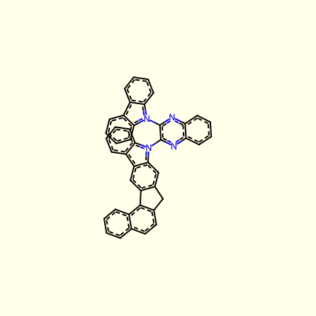 c1ccc2c3c(ccc2c1)Cc1cc2c(cc1-3)c1ccccc1n2-c1nc2ccccc2nc1-n1c2ccccc2c2ccccc21